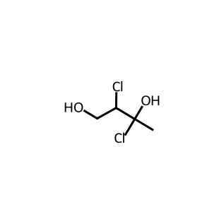 CC(O)(Cl)C(Cl)CO